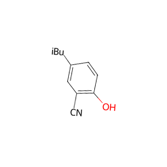 CCC(C)c1ccc(O)c(C#N)c1